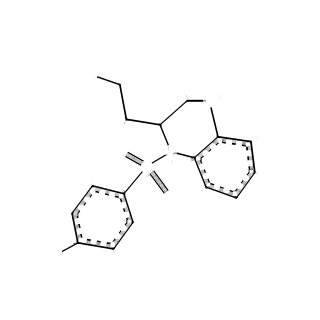 Cc1ccc(S(=O)(=O)N2c3ccccc3OCC2CCCl)cc1